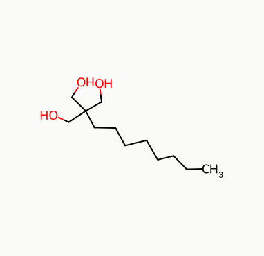 CCCCCCCCC(CO)(CO)CO